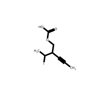 CC#CC(COC(=O)O)C(C)I